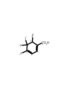 O=C(O)C1=CC=C(F)C(F)(I)C1F